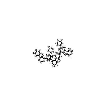 c1ccc(-c2nc(-c3cccc4c3sc3ccccc34)nc(-c3cccc4oc5cc(-c6nc(-c7ccccc7)nc7c6sc6ccccc67)ccc5c34)n2)cc1